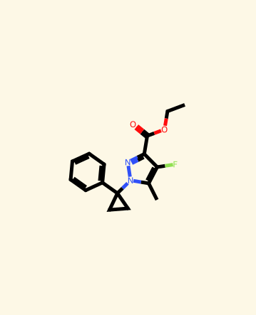 CCOC(=O)c1nn(C2(c3ccccc3)CC2)c(C)c1F